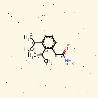 CC(C)c1cccc(CC(N)=O)c1C(C)C